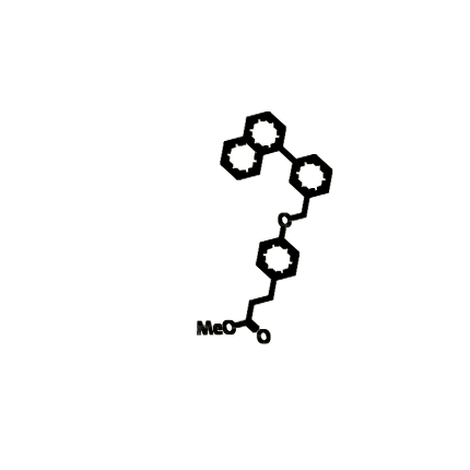 COC(=O)CCc1ccc(OCc2cccc(-c3cccc4ccccc34)c2)cc1